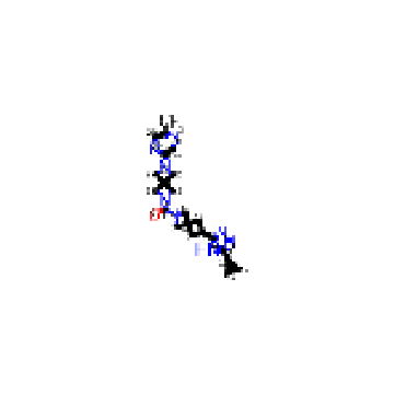 O=C(N1CC2(CC(c3nnc(C4CC4)[nH]3)C2)C1)N1CC2(C1)CN(c1cnc(C(F)(F)F)cn1)C2